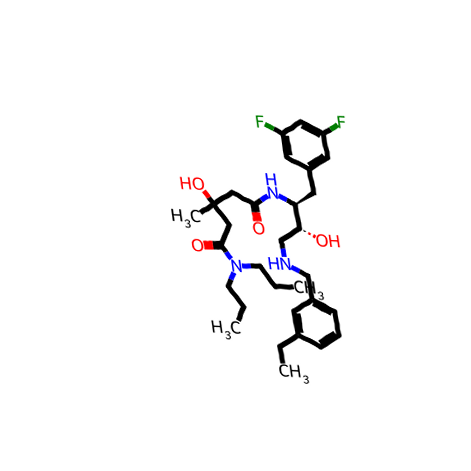 CCCN(CCC)C(=O)CC(C)(O)CC(=O)N[C@@H](Cc1cc(F)cc(F)c1)[C@H](O)CNCc1cccc(CC)c1